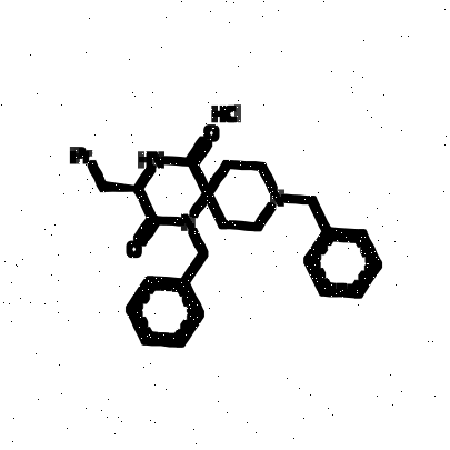 CC(C)C[C@H]1NC(=O)C2(CCN(Cc3ccccc3)CC2)N(Cc2ccccc2)C1=O.Cl